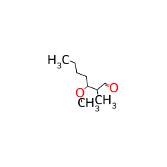 CCCCC(OC)C(C)C=O